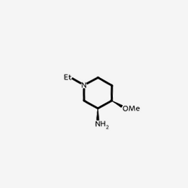 CCN1CC[C@@H](OC)[C@@H](N)C1